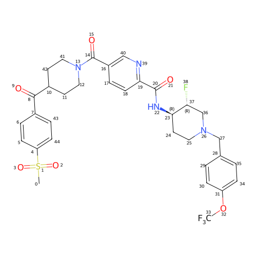 CS(=O)(=O)c1ccc(C(=O)C2CCN(C(=O)c3ccc(C(=O)N[C@@H]4CCN(Cc5ccc(OC(F)(F)F)cc5)C[C@H]4F)nc3)CC2)cc1